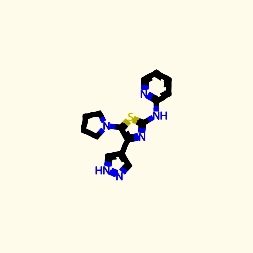 c1ccc(Nc2nc(-c3cn[nH]c3)c(N3CCCC3)s2)nc1